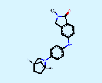 CN1Cc2cc(Nc3ccc(N4C[C@H]5CC[C@@H]4C5)cc3)ccc2C1=O